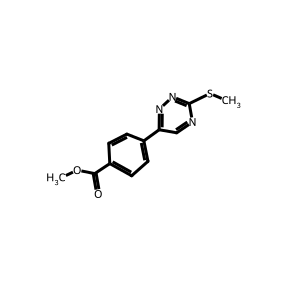 COC(=O)c1ccc(-c2cnc(SC)nn2)cc1